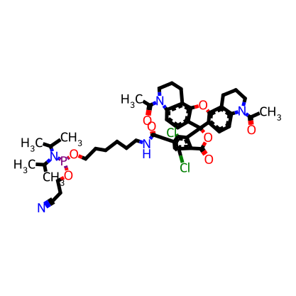 CC(=O)N1CCCc2c1ccc1c2Oc2c(ccc3c2CCCN3C(C)=O)C12OC(=O)c1c(Cl)cc(C(=O)NCCCCCCOP(OCCC#N)N(C(C)C)C(C)C)c(Cl)c12